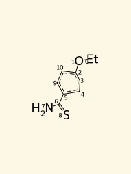 CCOc1ccc(C(N)=S)cc1